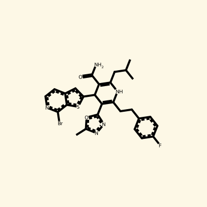 Cc1nnc(C2=C(CCc3ccc(F)cc3)NC(CC(C)C)=C(C(N)=O)C2c2cc3ccnc(Br)c3s2)o1